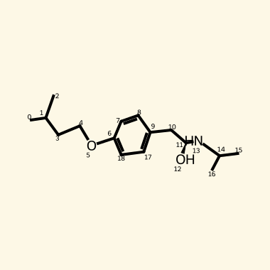 CC(C)CCOc1ccc(C[C@H](O)NC(C)C)cc1